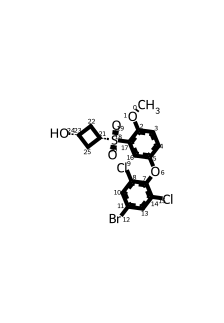 COc1ccc(Oc2c(Cl)cc(Br)cc2Cl)cc1S(=O)(=O)[C@H]1C[C@@H](O)C1